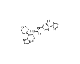 O=C(Nc1cnc(-n2nccn2)c(Cl)c1)Nc1cnn2ccnc2c1N1CCOCC1